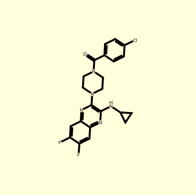 O=C(c1ccc(Cl)cc1)N1CCN(c2nc3cc(F)c(F)cc3nc2NC2CC2)CC1